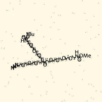 COC(=O)NCCOCCOCCOCCOCCC(=O)N(CCOCCOCCOCCN=[N+]=[N-])CCOCCOCCOCCNC(=O)OC(C)(C)C